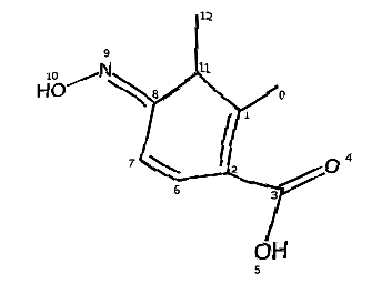 CC1=C(C(=O)O)C=CC(=NO)C1C